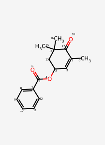 CC1=CC(OC(=O)c2ccccc2)CC(C)(C)C1=O